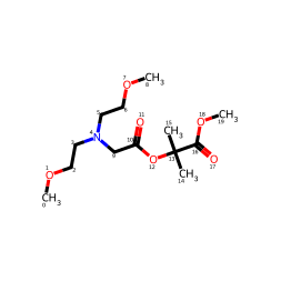 COCCN(CCOC)CC(=O)OC(C)(C)C(=O)OC